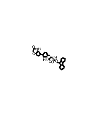 O=C1COc2ccc(-c3ccc(C[C@H](NC(=O)OCC4c5ccccc5-c5ccccc54)C(=O)O)cc3)cc2N1